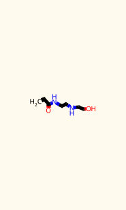 C=CC(=O)NCCNCCO